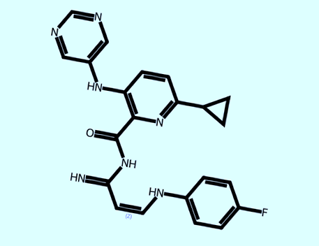 N=C(/C=C\Nc1ccc(F)cc1)NC(=O)c1nc(C2CC2)ccc1Nc1cncnc1